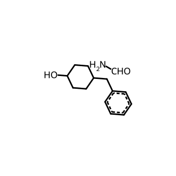 NC=O.OC1CCC(Cc2ccccc2)CC1